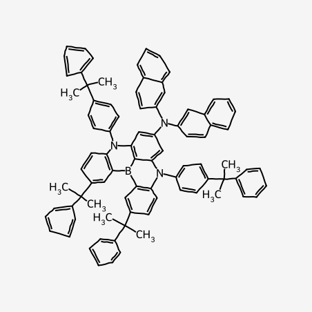 CC(C)(c1ccccc1)c1ccc(N2c3ccc(C(C)(C)c4ccccc4)cc3B3c4cc(C(C)(C)c5ccccc5)ccc4N(c4ccc(C(C)(C)c5ccccc5)cc4)c4cc(N(c5ccc6ccccc6c5)c5ccc6ccccc6c5)cc2c43)cc1